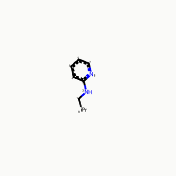 CC(C)CNc1ccccn1